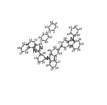 c1ccc(-c2ccc(-c3nc(-c4cccc(-n5c6ccccc6c6cc(-c7ccc8c(c7)c7ccccc7n8-c7ccccc7)ccc65)c4)nc4c3ccc3ccccc34)cc2)cc1